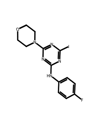 Fc1ccc(Nc2nc(I)nc(N3CCOCC3)n2)cc1